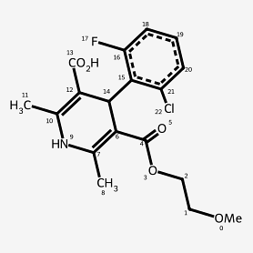 COCCOC(=O)C1=C(C)NC(C)=C(C(=O)O)C1c1c(F)cccc1Cl